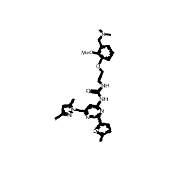 COc1c(CN(C)C)cccc1OCCNC(=O)Nc1cc(-n2nc(C)cc2C)nc(-c2ccc(C)o2)n1